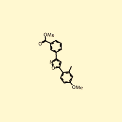 COC(=O)c1cccc(-c2cc(-c3ccc(OC)cc3C)on2)c1